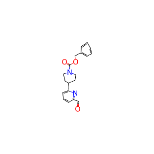 O=Cc1cccc(C2CCN(C(=O)OCc3ccccc3)CC2)n1